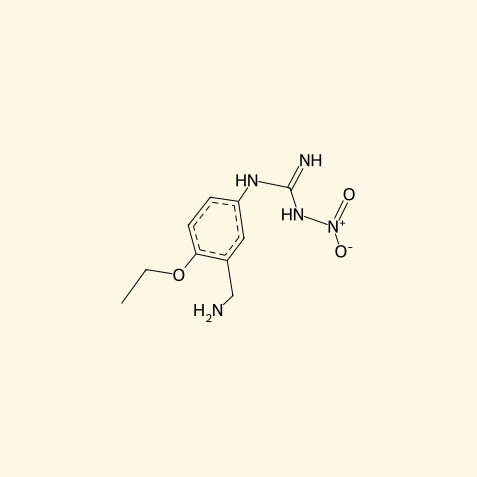 CCOc1ccc(NC(=N)N[N+](=O)[O-])cc1CN